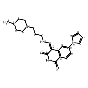 CN1CCN(CCCN/C=C2\C(=O)NC(=O)c3ccc(-n4cccc4)cc32)CC1